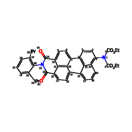 CCOC(=O)N(C(=O)OCC)c1ccc2c3ccc4c5c(ccc(c6cccc1c62)c53)C(=O)N(c1c(C(C)C)cccc1C(C)C)C4=O